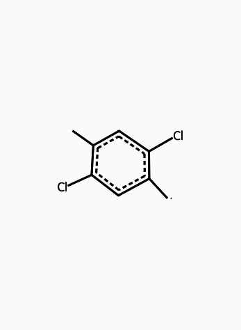 [CH2]c1cc(Cl)c(C)cc1Cl